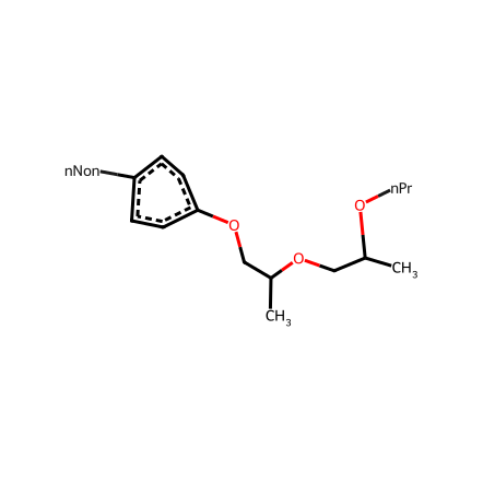 C[CH]COC(C)COC(C)COc1ccc(CCCCCCCCC)cc1